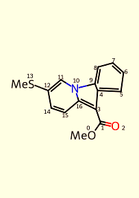 COC(=O)c1c2ccccc2n2cc(SC)ccc12